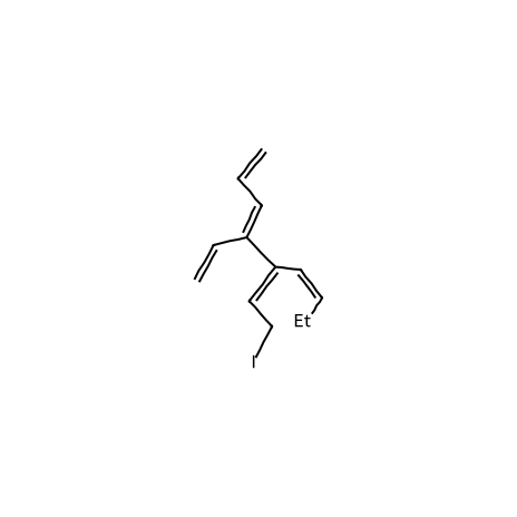 C=C/C=C(C=C)/C(/C=C\CC)=C/CI